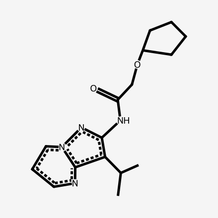 CC(C)c1c(NC(=O)COC2CCCC2)nn2cccnc12